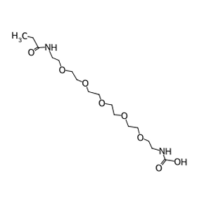 CCC(=O)NCCOCCOCCOCCOCCOCCNC(=O)O